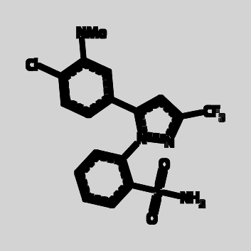 CNc1cc(-c2cc(C(F)(F)F)nn2-c2ccccc2S(N)(=O)=O)ccc1Cl